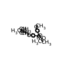 COc1ccc(-c2oc(C(=O)C(C)C)nc2-c2ccc(OCCO[Si](C)(C)C(C)(C)C)cc2)cc1